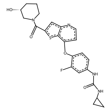 O=C(Nc1ccc(Oc2ccnc3cc(C(=O)N4CCC[C@@H](O)C4)sc23)c(F)c1)NC1CC1